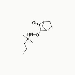 CCCC(C)(C)NOC1C(=O)C2CCC1C2